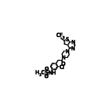 CS(=O)(=O)Nc1ccc(CC(=O)N2CCN(C3=NC=NC4SC(CC(F)(F)F)=CC34)CC2)c(Cl)c1